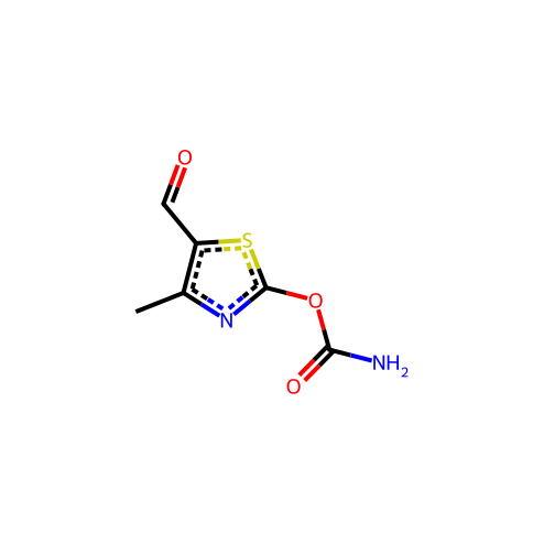 Cc1nc(OC(N)=O)sc1C=O